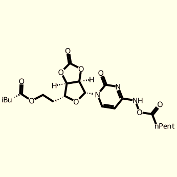 CCCCCC(=O)ONc1ccn([C@@H]2O[C@H](CCOC(=O)[C@@H](C)CC)[C@H]3OC(=O)O[C@H]32)c(=O)n1